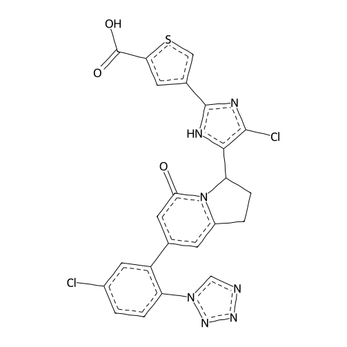 O=C(O)c1cc(-c2nc(Cl)c(C3CCc4cc(-c5cc(Cl)ccc5-n5cnnn5)cc(=O)n43)[nH]2)cs1